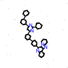 c1ccc(-c2cccc(-c3cc(-c4cccc(-c5ccc(-c6nc7ccccc7c7nc8ccccn8c67)cc5)c4)nc(-c4ccccc4)n3)c2)cc1